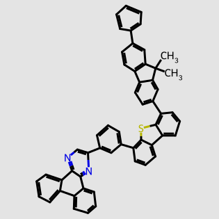 CC1(C)c2cc(-c3ccccc3)ccc2-c2ccc(-c3cccc4c3sc3c(-c5cccc(-c6cnc7c8ccccc8c8ccccc8c7n6)c5)cccc34)cc21